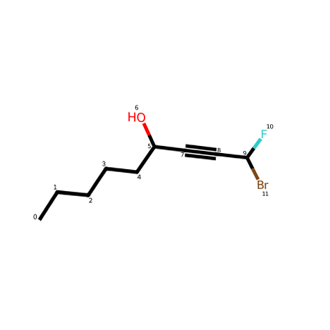 CCCCCC(O)C#CC(F)Br